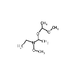 CCN(OC)C(C)OC(C)OC